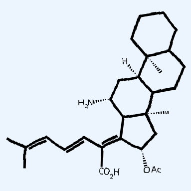 CC(=O)O[C@H]1C[C@@]2(C)C(/C1=C(\C=C\C=C(C)C)C(=O)O)[C@H](N)C[C@@H]1C2CCC2CCCC[C@@]21C